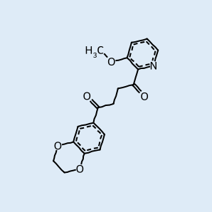 COc1cccnc1C(=O)CCC(=O)c1ccc2c(c1)OCCO2